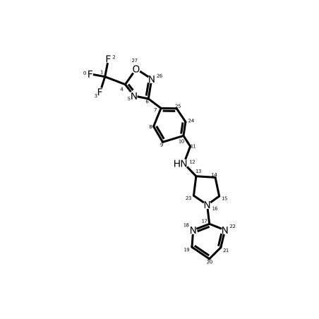 FC(F)(F)c1nc(-c2ccc(CNC3CCN(c4ncccn4)C3)cc2)no1